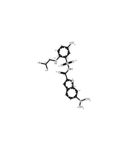 CN(C)c1ccc2cc(C(=O)NS(=O)(=O)c3cc(C(F)(F)F)ccc3NCC(F)F)oc2c1